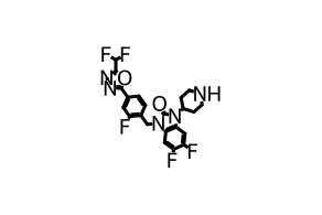 O=c1n(Cc2ccc(-c3nnc(C(F)F)o3)cc2F)c2cc(F)c(F)cc2n1C1CCNCC1